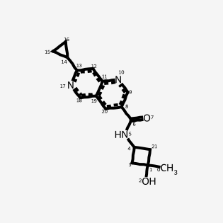 CC1(O)CC(NC(=O)c2cnc3cc(C4CC4)ncc3c2)C1